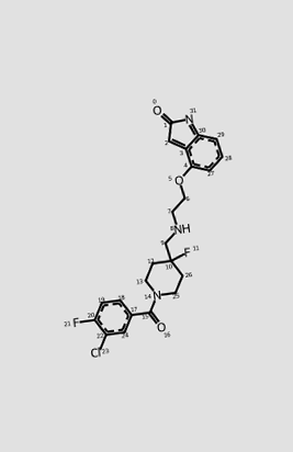 O=C1C=c2c(OCCNCC3(F)CCN(C(=O)c4ccc(F)c(Cl)c4)CC3)cccc2=N1